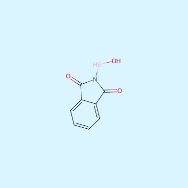 O=C1c2ccccc2C(=O)N1BO